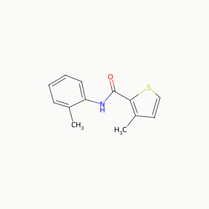 Cc1ccccc1NC(=O)c1sccc1C